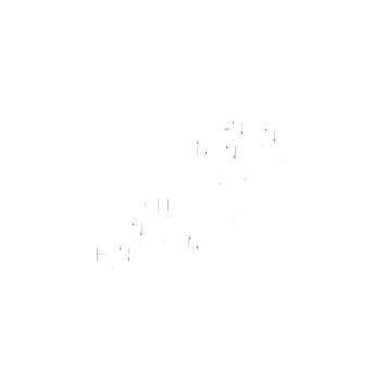 Cc1cc(CN2CCC(Oc3ccc(-n4c(-c5ccccn5)nc5cccnc54)cc3)CC2)cc(N)n1